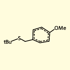 COc1ccc(CSC(C)(C)C)cc1